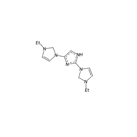 CCN1C=CN(c2c[nH]c(N3C=CN(CC)C3)n2)C1